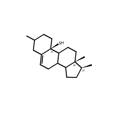 CC1CC[C@@]2(S)C(=CCC3C2CC[C@@]2(C)C3CC[C@@H]2C)C1